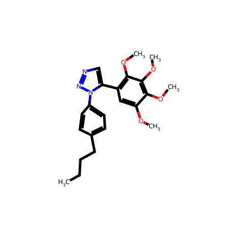 CCCCc1ccc(-n2nncc2-c2cc(OC)c(OC)c(OC)c2OC)cc1